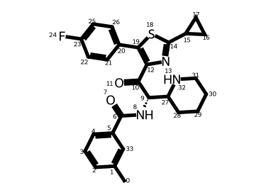 Cc1cccc(C(=O)N[C@H](C(=O)c2nc(C3CC3)sc2-c2ccc(F)cc2)C2CCCCN2)c1